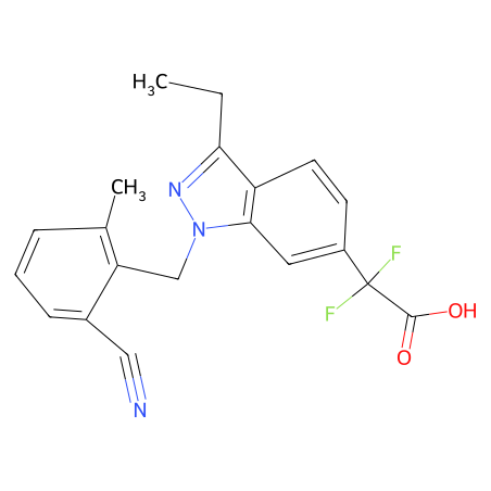 CCc1nn(Cc2c(C)cccc2C#N)c2cc(C(F)(F)C(=O)O)ccc12